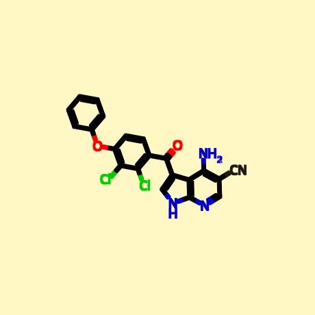 N#Cc1cnc2[nH]cc(C(=O)c3ccc(Oc4ccccc4)c(Cl)c3Cl)c2c1N